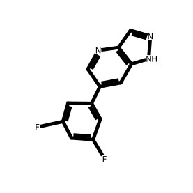 Fc1cc(F)cc(-c2cnc3cn[nH]c3c2)c1